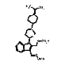 CON=Cc1c(CNC(=O)O)n(C2CCN(C3CCC(=C(C)C)CC3)CC2)c2ccccc12